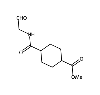 COC(=O)C1CCC(C(=O)NCC=O)CC1